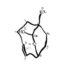 CCC12CC/C=C/C(CC1)OC2O